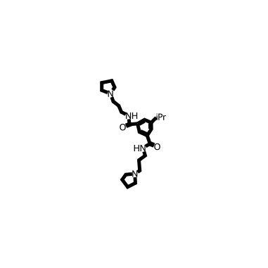 CC(C)c1cc(C(=O)NCCCN2CCCC2)cc(C(=O)NCCCN2CCCC2)c1